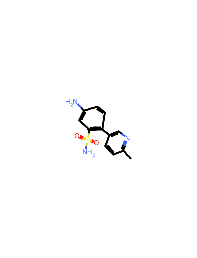 Cc1ccc(-c2ccc(N)cc2S(N)(=O)=O)cn1